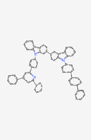 c1ccc(-c2ccc(-c3ccc(-n4c5ccccc5c5cc(-c6ccc7c8ccccc8n(-c8ccc(-c9cc(-c%10ccccc%10)cc(-c%10ccccc%10)n9)cc8)c7c6)ccc54)cc3)cc2)cc1